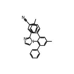 Cc1cc(-c2ccccc2)c(-n2ccnc2-c2ccc(C)c(C#N)c2)c(-c2ccccc2)c1